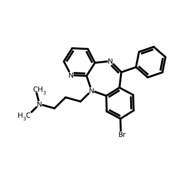 CN(C)CCCN1c2cc(Br)ccc2C(c2ccccc2)=Nc2cccnc21